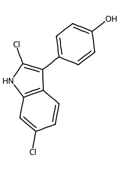 Oc1ccc(-c2c(Cl)[nH]c3cc(Cl)ccc23)cc1